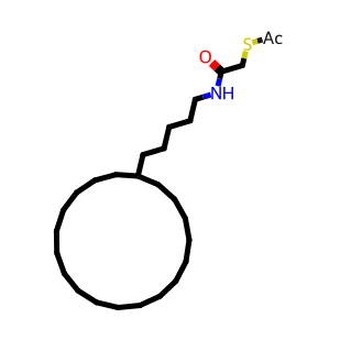 CC(=O)SCC(=O)NCCCCCC1CCCCCCCCCCCCCCCCCC1